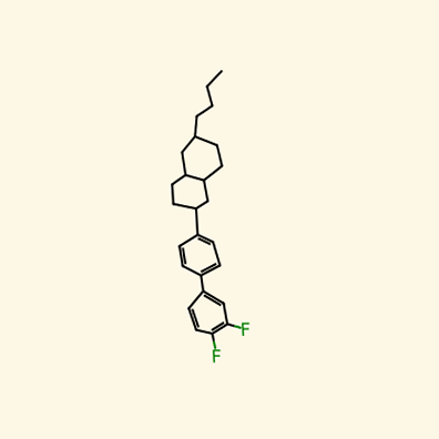 CCCCC1CCC2CC(c3ccc(-c4ccc(F)c(F)c4)cc3)CCC2C1